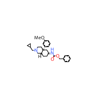 COc1cccc([C@@]23CCN(CC4CC4)C[C@H]2CC[C@@H](NC(=O)OCc2ccccc2)C3)c1